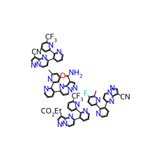 CCOC(=O)c1cnn2ccc(-c3cccnc3-c3cccc(C(F)(F)F)n3)nc12.Cc1cccc(-c2ncccc2-c2ccn3ncc(C(N)=O)c3n2)n1.Cc1nc(-c2ncccc2-c2ccn3ncc(C#N)c3n2)ccc1F.N#Cc1cnn2ccc(-c3cccnc3-c3cccc(C(F)(F)F)n3)nc12